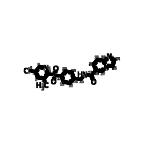 Cc1cc(Cl)cnc1S(=O)(=O)c1ccc(CNC(=O)c2ccc3nccn3c2)cc1